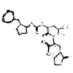 CC(C)C[C@H](NC(=O)OC1CCCC1Cc1ccccc1)C(=O)N[C@@H](C[C@@H]1CCNC1=O)C(=O)O